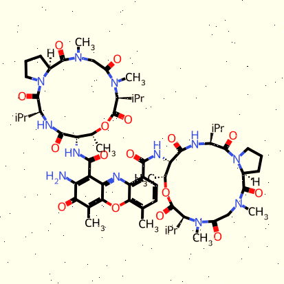 Cc1c2oc3c(C)ccc(C(=O)N[C@@H]4C(=O)N[C@@H](C(C)C)C(=O)N5CCC[C@H]5C(=O)N(C)CC(=O)N(C)[C@@H](C(C)C)C(=O)O[C@@H]4C)c3nc-2c(C(=O)N[C@@H]2C(=O)N[C@@H](C(C)C)C(=O)N3CCC[C@H]3C(=O)N(C)CC(=O)N(C)[C@@H](C(C)C)C(=O)O[C@@H]2C)c(N)c1=O